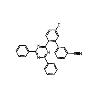 N#Cc1cccc(-c2cc(Cl)ccc2-c2nc(-c3ccccc3)nc(-c3ccccc3)n2)c1